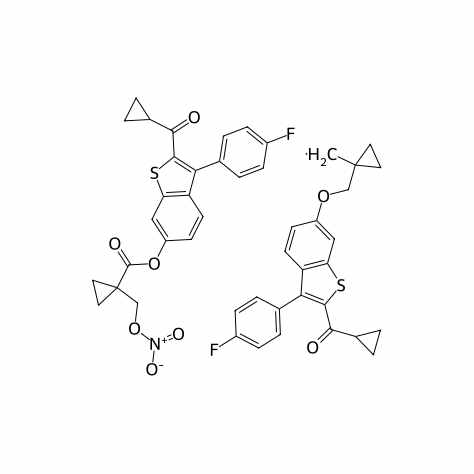 O=C(c1sc2cc(OC(=O)C3(CO[N+](=O)[O-])CC3)ccc2c1-c1ccc(F)cc1)C1CC1.[CH2]C1(COc2ccc3c(-c4ccc(F)cc4)c(C(=O)C4CC4)sc3c2)CC1